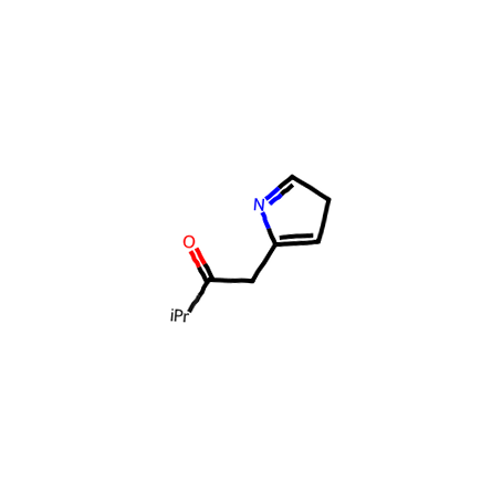 CC(C)C(=O)CC1=CCC=N1